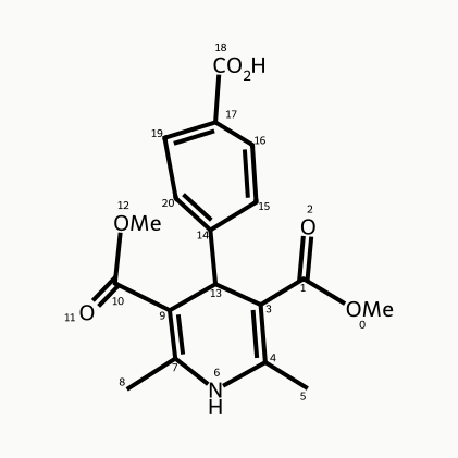 COC(=O)C1=C(C)NC(C)=C(C(=O)OC)C1c1ccc(C(=O)O)cc1